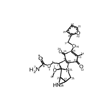 COC12C(COC(N)=O)C3=C(C(=O)C(C)=C(OCc4ccco4)C3=O)N1CC1NC12